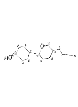 CCCC1CCC(C2CCC(O)CC2)OC1